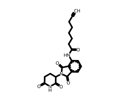 C#CCCCCCC(=O)Nc1cccc2c1C(=O)N(C1CCC(=O)NC1=O)C2=O